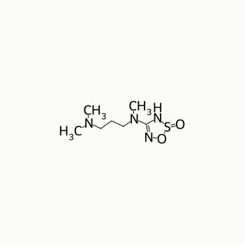 CN(C)CCCN(C)C1=NOS(=O)N1